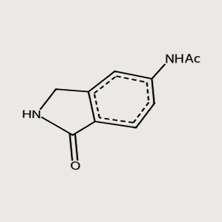 CC(=O)Nc1ccc2c(c1)CNC2=O